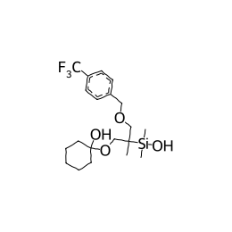 CC(COCc1ccc(C(F)(F)F)cc1)(COC1(O)CCCCC1)[Si](C)(C)O